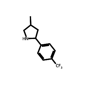 CC1CNC(c2ccc(C(F)(F)F)cc2)C1